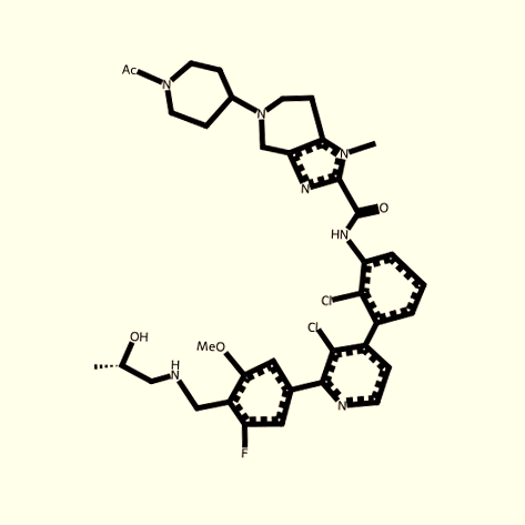 COc1cc(-c2nccc(-c3cccc(NC(=O)c4nc5c(n4C)CCN(C4CCN(C(C)=O)CC4)C5)c3Cl)c2Cl)cc(F)c1CNC[C@H](C)O